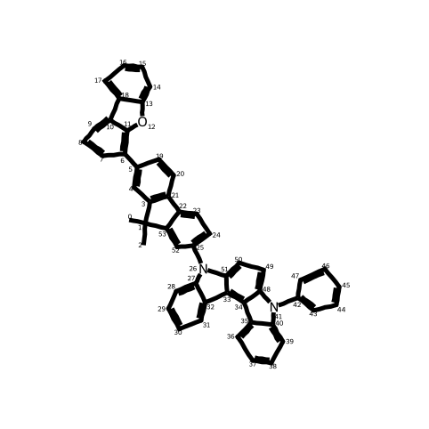 CC1(C)c2cc(-c3cccc4c3oc3ccccc34)ccc2-c2ccc(-n3c4ccccc4c4c5c6ccccc6n(-c6ccccc6)c5ccc43)cc21